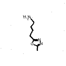 Cc1nnc(CCCCN)o1